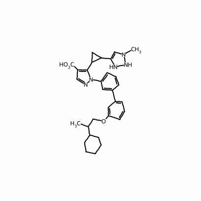 CC(COc1cccc(-c2cccc(-n3ncc(C(=O)O)c3C3CC3C3=CN(C)NN3)c2)c1)C1CCCCC1